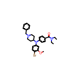 CCN(CC)C(=O)c1ccc(N(c2ccc(Br)c(OC)c2)C2CCN(Cc3ccccc3)CC2)cc1